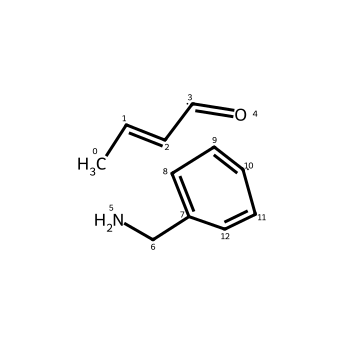 CC=C[C]=O.NCc1cc[c]cc1